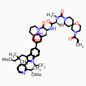 C=CC(=O)N1CCOC2(CCN(C(=O)N(C)[C@H](C(=O)N[C@@H](Cc3cccc(-c4ccc5c(c4)c(CC(C)(C)COC)c(-c4cccnc4[C@H](C)OC)n5CC(F)(F)F)c3)C(=O)N3CCC[C@@H](O)N3)C(C)C)CC2)C1